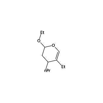 CCCC1CC(OCC)OC=C1CC